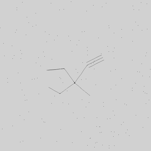 C#CC(C)(CC)CC